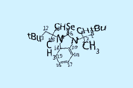 CC(C)(C)CC(C)(C)N1C(=[Se])N(C(C)(C)CC(C)(C)C)C2CC=CC=C21